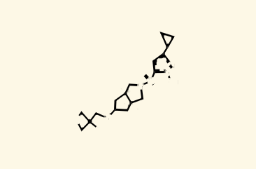 Cn1nc(C2CC2)cc1S(=O)(=O)N1C[C@H]2CC(NCC3(C)COC3)C[C@H]2C1